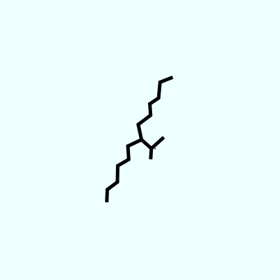 CCCCCCC(CCCCCC)[C](C)C